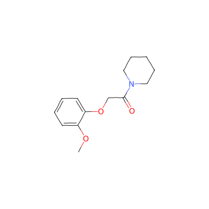 COc1ccccc1OCC(=O)N1CCCCC1